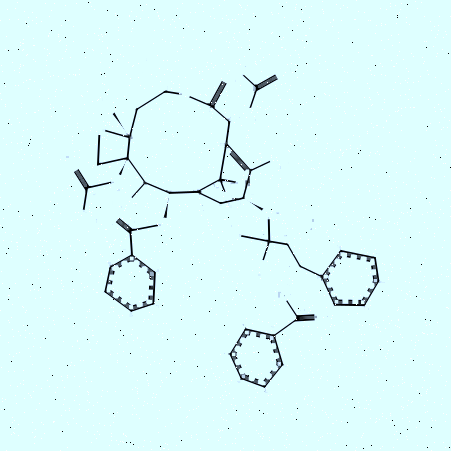 CC(=O)O[C@H]1C(=O)C[C@@H](C)C[C@H]2OC[C@@]2(OC(C)=O)C(C)[C@H](OC(=O)c2ccccc2)[C@]2(O)C[C@H](OC(O)(O)[C@H](O)[C@@H](NC(=O)c3ccccc3)c3ccccc3)C(C)=C1C2(C)C